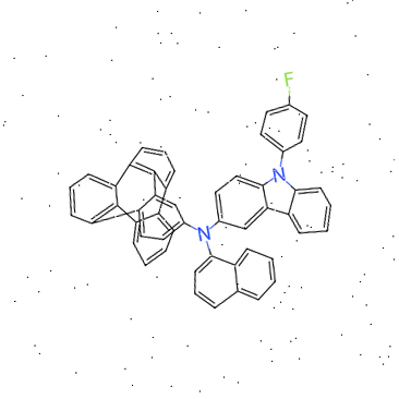 Fc1ccc(-n2c3ccccc3c3cc(N(c4ccc5c(c4)-c4c6cccc4-c4cccc-5c4-c4ccccc4-6)c4cccc5ccccc45)ccc32)cc1